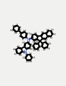 c1ccc(-c2ccc(N(c3ccc4c(c3)C(c3ccccc3)(c3ccccc3)c3cc5ccccc5cc3-4)c3ccc4c(c3)c3ccccc3n4-c3ccccc3)cc2)cc1